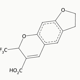 O=C(O)C1=Cc2cc3c(cc2OC1C(F)(F)F)OCC3